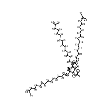 CC(=O)OC(CC(=O)OCCCCCCCCCCCCCC(C)C)(CC(=O)OCCCCCCCCCCCCCC(C)C)C(=O)OCCCCCCCCCCCCCC(C)C